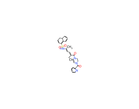 CC/C(=C\C=C(/C)NS(=O)(=O)C1=C2C=CC=CC2CC=C1)C(=O)N1CCN(C(=O)c2ccccn2)CC1